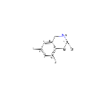 Cc1cc(C)c2c(c1)C=NC1CC21